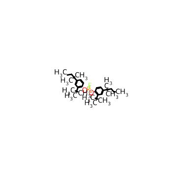 CCCC(C)(C)c1ccc(OP(F)Oc2ccc(C(C)(C)CCC)cc2C(C)(C)C)c(C(C)(C)C)c1